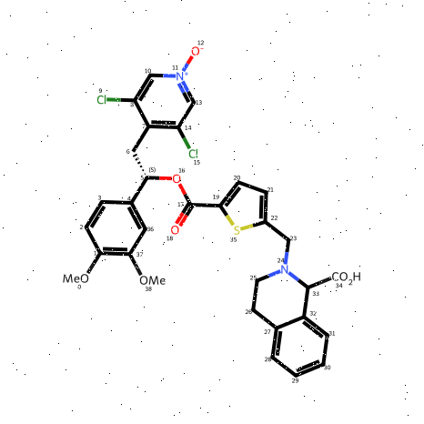 COc1ccc([C@H](Cc2c(Cl)c[n+]([O-])cc2Cl)OC(=O)c2ccc(CN3CCc4ccccc4C3C(=O)O)s2)cc1OC